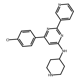 Clc1ccc(-c2cc(NC3CCNCC3)nc(-c3cccnc3)n2)cc1